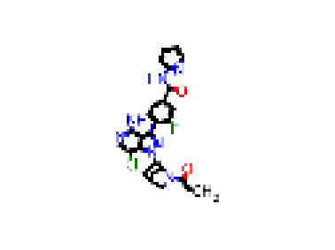 C=CC(=O)N1CC2CC1[C@H](n1nc(-c3ccc(C(=O)Nc4ccccn4)cc3F)c3c(N)ncc(Cl)c31)C2